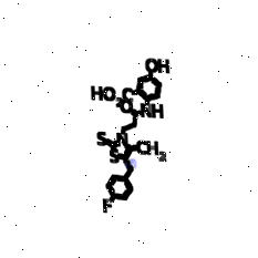 C=c1/c(=C/c2ccc(F)cc2)sc(=S)n1CCC(=O)Nc1ccc(O)cc1C(=O)O